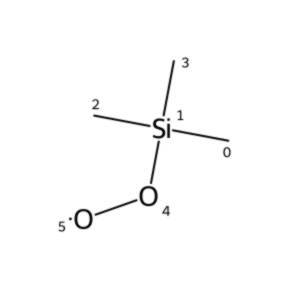 C[Si](C)(C)O[O]